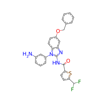 Nc1cccc(-n2c(NC(=O)c3ccc(C(F)F)s3)nc3cc(OCc4ccccc4)ccc32)c1